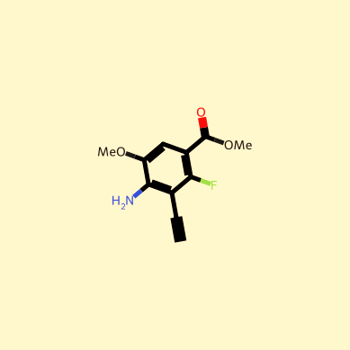 C#Cc1c(N)c(OC)cc(C(=O)OC)c1F